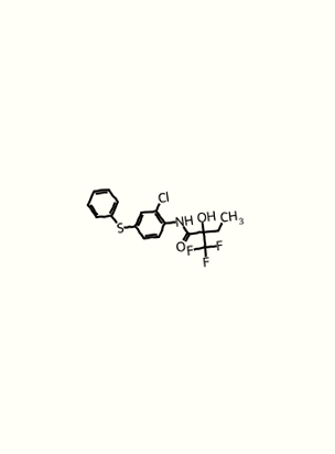 CCC(O)(C(=O)Nc1ccc(Sc2ccccc2)cc1Cl)C(F)(F)F